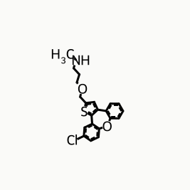 CNCCCOCc1cc2c(s1)-c1cc(Cl)ccc1Oc1ccccc1-2